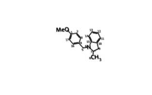 COc1ccc(CN2[C](C)Cc3ccccc32)cc1